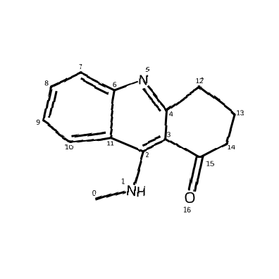 CNc1c2c(nc3ccccc13)CCCC2=O